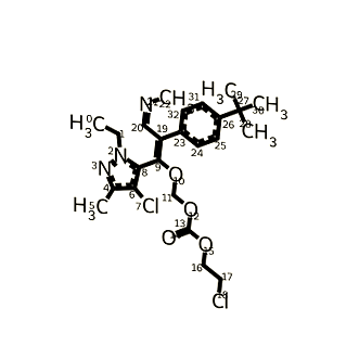 CCn1nc(C)c(Cl)c1/C(OCOC(=O)OCCCl)=C(\C=N/C)c1ccc(C(C)(C)C)cc1